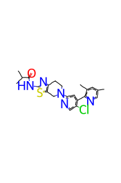 Cc1cnc(-c2cc(N3CCc4nc(NC(=O)C(C)C)sc4C3)ncc2Cl)c(C)c1